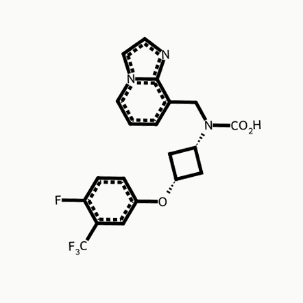 O=C(O)N(Cc1cccn2ccnc12)[C@H]1C[C@@H](Oc2ccc(F)c(C(F)(F)F)c2)C1